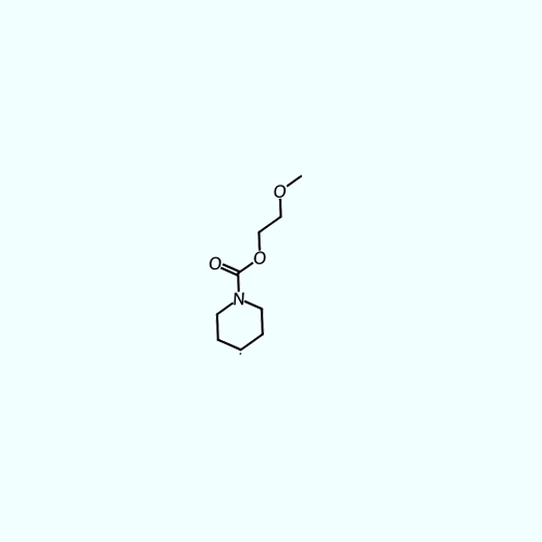 COCCOC(=O)N1CC[CH]CC1